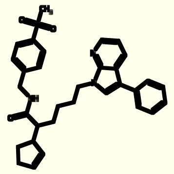 CS(=O)(=O)c1ccc(CNC(=O)C(CCCCn2cc(-c3ccccc3)c3cccnc32)C2C=CCC2)cc1